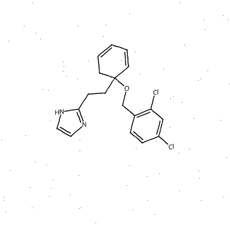 Clc1ccc(COC2(CCc3ncc[nH]3)C=CC=CC2)c(Cl)c1